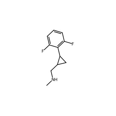 CNCC1CC1c1c(F)cccc1F